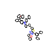 c1ccc(-c2cc(-c3ccccc3)cc(-c3nc(-c4cccc5c4oc4ccccc45)nc4c3sc3ccc(-c5cccc(-c6cccc7c6c6cc(-c8ccccc8)ccc6n7-c6ccc7c(c6)C(c6ccccc6)(c6ccccc6)c6ccccc6-7)c5)cc34)c2)cc1